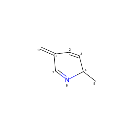 C=C1C=CC(C)N=C1